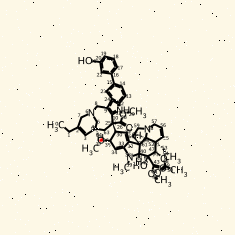 CCC1=C[C@H]2CN(C1)Cc1c([nH]c3ccc(-c4cccc(O)c4)cc13)[C@@](C(=O)OC)(C1C=C3C(=CC1OC)N(C)[C@H]1[C@@](O)(C(=O)OC)[C@H](OC(C)=O)[C@]4(CC)C=CCN5CC[C@]31[C@@H]54)C2